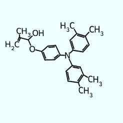 C=C(C)C(O)Oc1ccc(N(c2ccc(C)c(C)c2)c2ccc(C)c(C)c2)cc1